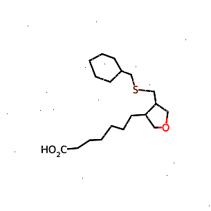 O=C(O)CCCCCCC1COCC1CSCC1CCCCC1